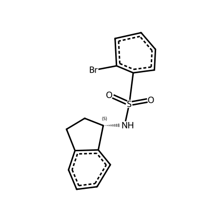 O=S(=O)(N[C@H]1CCc2ccccc21)c1ccccc1Br